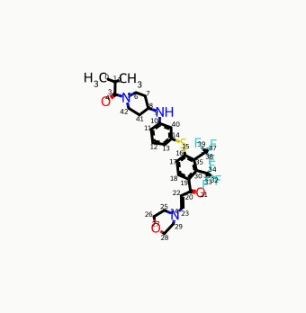 CC(C)C(=O)N1CCC(Nc2cccc(Sc3ccc(C(=O)C=CN4CCOCC4)c(C(F)(F)F)c3C(F)(F)F)c2)CC1